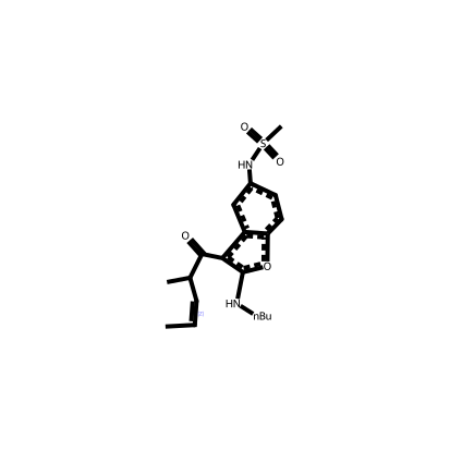 C/C=C\C(C)C(=O)c1c(NCCCC)oc2ccc(NS(C)(=O)=O)cc12